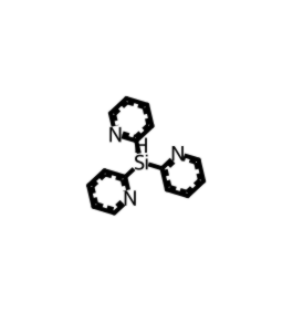 c1ccc([SiH](c2ccccn2)c2ccccn2)nc1